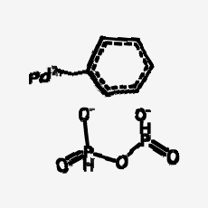 Cc1ccccc1.O=[PH]([O-])O[PH](=O)[O-].[Pd+2]